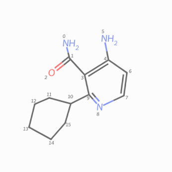 NC(=O)c1c(N)ccnc1C1CCCCC1